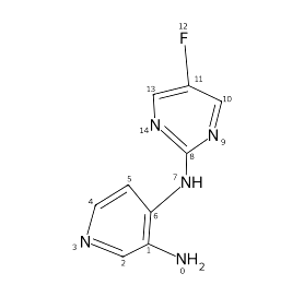 Nc1cnccc1Nc1ncc(F)cn1